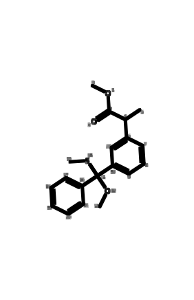 COC(=O)C(C)c1cccc(C(OC)(SC)c2ccccc2)c1